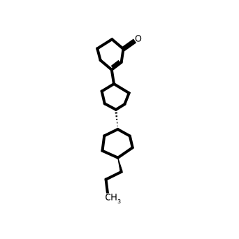 CCC[C@H]1CC[C@H](C2CCC(C3=CC(=O)CCC3)CC2)CC1